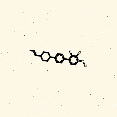 C/C=C/C1CCC(c2ccc(-c3ccc(OCC)c(Cl)c3F)cc2)CC1